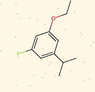 [CH2]C(C)c1cc(F)cc(OCC)c1